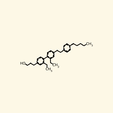 CCCCCc1ccc(CCc2ccc(-c3ccc(CCCO)cc3CC)c(CC)c2)cc1